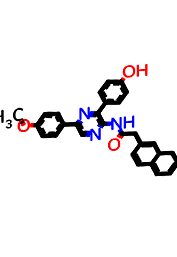 COc1ccc(-c2cnc(NC(=O)CC3=CC4CC=CC=C4C=C3)c(-c3ccc(O)cc3)n2)cc1